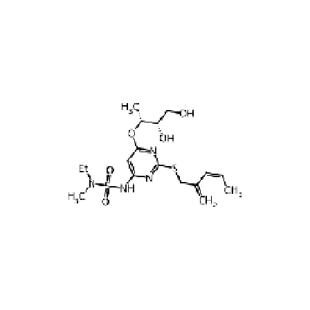 C=C(/C=C\C)CSc1nc(NS(=O)(=O)N(C)CC)cc(O[C@H](C)[C@@H](O)CO)n1